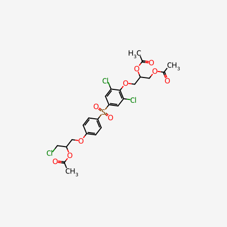 CC(=O)OCC(COc1c(Cl)cc(S(=O)(=O)c2ccc(OCC(CCl)OC(C)=O)cc2)cc1Cl)OC(C)=O